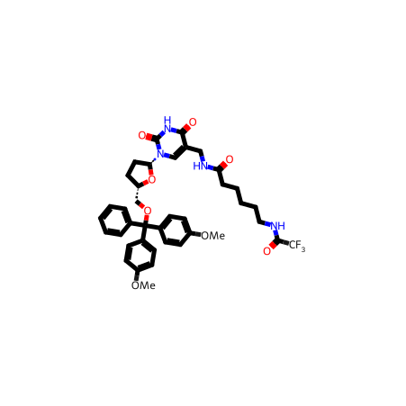 COc1ccc(C(OC[C@@H]2CC[C@H](n3cc(CNC(=O)CCCCCNC(=O)C(F)(F)F)c(=O)[nH]c3=O)O2)(c2ccccc2)c2ccc(OC)cc2)cc1